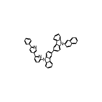 c1ccc(-c2ccc(-c3cccc(-n4c5ccccc5c5cc(-c6ccc7c(c6)c6ccccc6n7-c6ccc7ccccc7c6)ccc54)n3)cn2)cc1